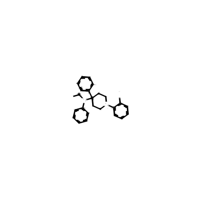 CCC(=O)N(c1ccccc1)C1(c2ccccc2)CCN(c2ccccc2CC)CC1